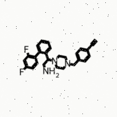 C#Cc1ccc(CN2CCN(C(CN)c3ccccc3-c3ccc(F)cc3F)CC2)cc1